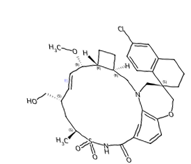 CO[C@H]1/C=C/[C@@H](CO)C[C@H](C)S(=O)(=O)NC(=O)c2ccc3c(c2)N(C[C@@H]2CC[C@H]21)C[C@@]1(CCCc2cc(Cl)ccc21)CO3